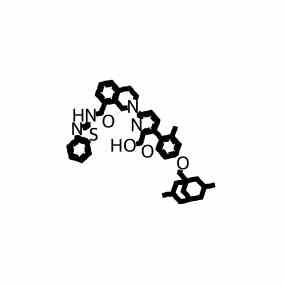 Cc1cc(OCC23CC(C)CC(CC(C)C2)C3)ccc1-c1ccc(N2CCc3cccc(C(=O)Nc4nc5ccccc5s4)c3C2)nc1C(=O)O